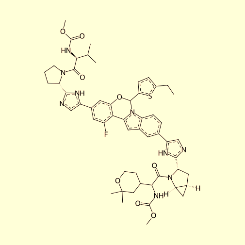 CCc1ccc(C2Oc3cc(-c4cnc([C@@H]5CCCN5C(=O)[C@@H](NC(=O)OC)C(C)C)[nH]4)cc(F)c3-c3cc4cc(-c5cnc([C@@H]6C[C@H]7C[C@H]7N6C(=O)C(NC(=O)OC)C6CCOC(C)(C)C6)[nH]5)ccc4n32)s1